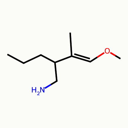 CCCC(CN)/C(C)=C/OC